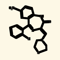 O=C1Nc2ccc([N+](=O)[O-])cc2C(c2ccccc2Cl)=NC1=CN1CCOCC1